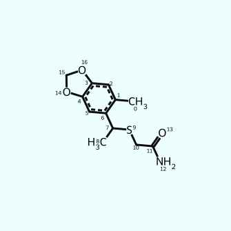 Cc1cc2c(cc1C(C)SCC(N)=O)OCO2